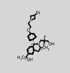 CCC1CN(CCOc2ccc([C@H]3c4ccc([C@@H](C)O)cc4C[C@H](C)N3CC(F)(F)CO)cc2)C1